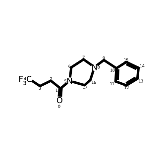 O=C(CCC(F)(F)F)N1CCN(Cc2ccccc2)CC1